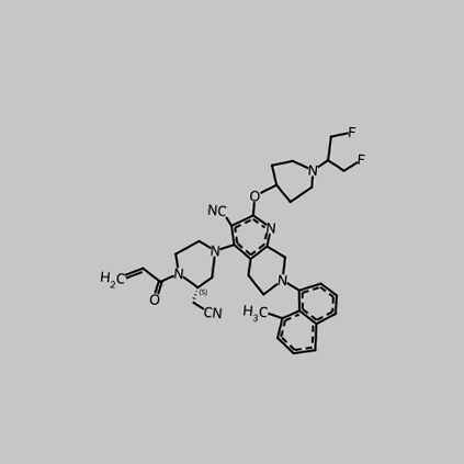 C=CC(=O)N1CCN(c2c(C#N)c(OC3CCN(C(CF)CF)CC3)nc3c2CCN(c2cccc4cccc(C)c24)C3)C[C@@H]1CC#N